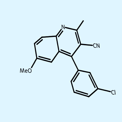 COc1ccc2nc(C)c(C#N)c(-c3cccc(Cl)c3)c2c1